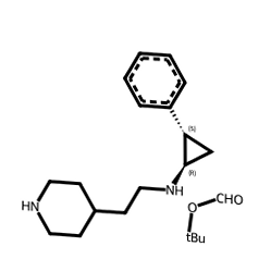 CC(C)(C)OC=O.c1ccc([C@@H]2C[C@H]2NCCC2CCNCC2)cc1